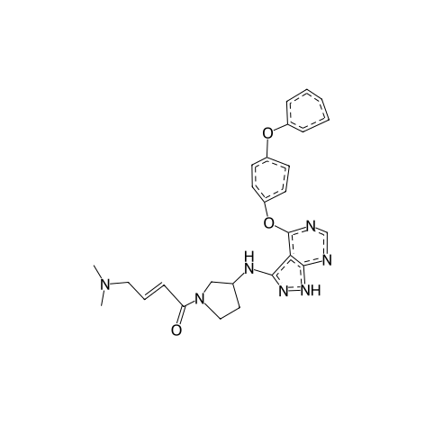 CN(C)C/C=C/C(=O)N1CCC(Nc2n[nH]c3ncnc(Oc4ccc(Oc5ccccc5)cc4)c23)C1